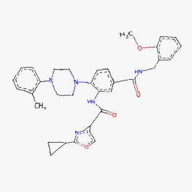 COc1ccccc1CNC(=O)c1ccc(N2CCN(c3ccccc3C)CC2)c(NC(=O)c2coc(C3CC3)n2)c1